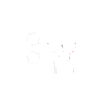 C#CC[C@@]1(CO[Si](c2ccccc2)(c2ccccc2)C(C)(C)C)OC(OC(C)=O)[C@H](OC(C)=O)[C@@H]1C